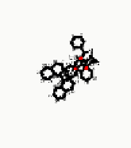 CCC1=C(c2ccccc2)/N=C(c2ccc(-n3c4ccc5ccccc5c4c4c5ccccc5ccc43)c3ccccc23)/C=C/C=C\1c1ccccc1